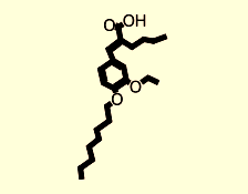 CCCCCCCCOc1ccc(/C=C(\CCCC)C(=O)O)cc1OCC